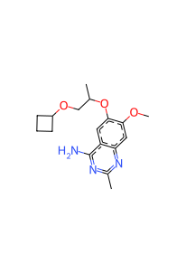 COc1cc2nc(C)nc(N)c2cc1OC(C)COC1CCC1